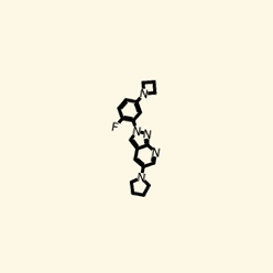 Fc1ccc(N2CCC2)cc1-n1cc2cc(N3CCCC3)cnc2n1